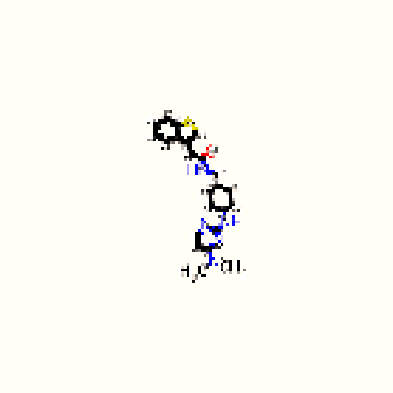 CN(C)c1ccnc(N[C@H]2CC[C@@H](CNC(=O)Cc3csc4ccccc34)CC2)n1